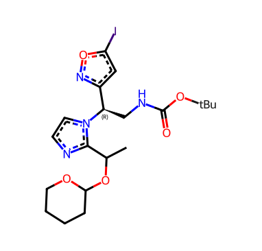 CC(OC1CCCCO1)c1nccn1[C@H](CNC(=O)OC(C)(C)C)c1cc(I)on1